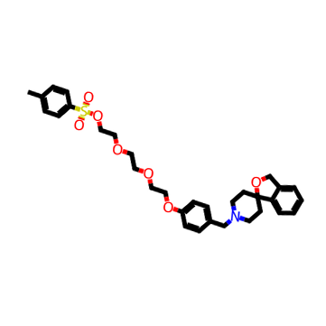 Cc1ccc(S(=O)(=O)OCCOCCOCCOc2ccc(CN3CCC4(CC3)OCc3ccccc34)cc2)cc1